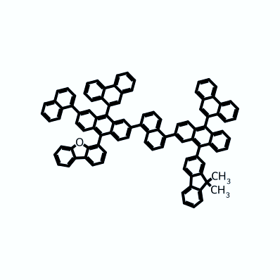 CC1(C)c2ccccc2-c2ccc(-c3c4ccccc4c(-c4cc5ccccc5c5ccccc45)c4ccc(-c5cccc6c(-c7ccc8c(-c9cccc%10c9oc9ccccc9%10)c9ccc(-c%10cccc%11ccccc%10%11)cc9c(-c9cc%10ccccc%10c%10ccccc9%10)c8c7)cccc56)cc34)cc21